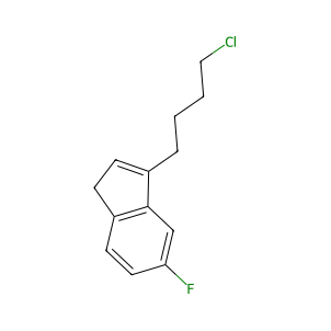 Fc1ccc2c(c1)C(CCCCCl)=CC2